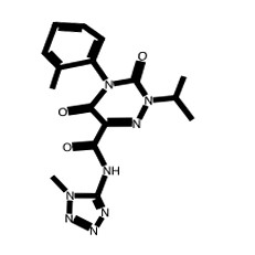 Cc1ccccc1-n1c(=O)c(C(=O)Nc2nnnn2C)nn(C(C)C)c1=O